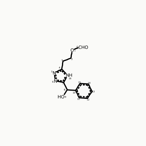 O=COCCc1nnc(C(O)c2ccccc2)[nH]1